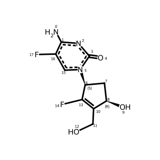 Nc1nc(=O)n([C@H]2C[C@@H](O)C(CO)=C2F)cc1F